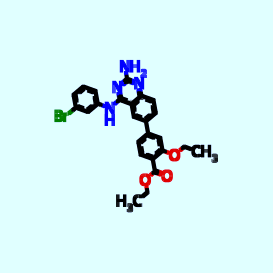 CCOC(=O)c1ccc(-c2ccc3nc(N)nc(Nc4cccc(Br)c4)c3c2)cc1OCC